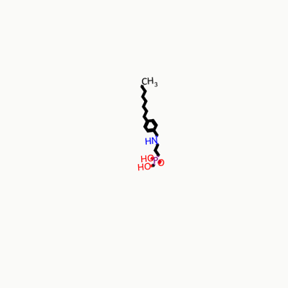 CCCCCCCCc1ccc(CNCCCP(=O)(O)CO)cc1